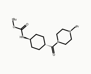 CC(C)N1CCN(C(=O)[C@H]2CC[C@H](NC(=O)OC(C)(C)C)CC2)CC1